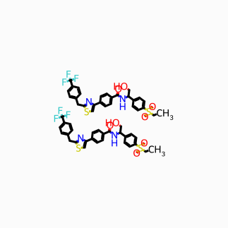 CCS(=O)(=O)c1ccc(C(CO)NC(=O)c2ccc(-c3csc(Cc4ccc(C(F)(F)F)cc4)n3)cc2)cc1.CCS(=O)(=O)c1ccc(C(CO)NC(=O)c2ccc(-c3csc(Cc4ccc(C(F)(F)F)cc4)n3)cc2)cc1